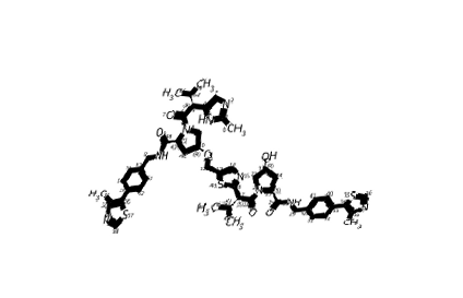 Cc1ncc([C@H](C(=O)N2C[C@H](OCc3cnc([C@H](C(=O)N4C[C@H](O)C[C@H]4C(=O)NCc4ccc(-c5scnc5C)cc4)C(C)C)s3)C[C@H]2C(=O)NCc2ccc(-c3scnc3C)cc2)C(C)C)[nH]1